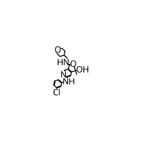 CC(C)(O)c1cc(Nc2cccc(Cl)c2)ncc1C(=O)NCC1CCOCC1